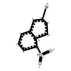 O=[SH](=O)c1cccc2cc(Br)ccc12